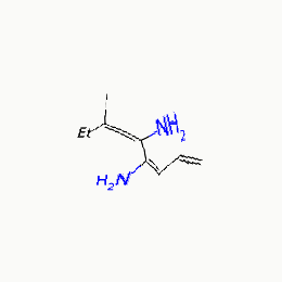 C=C/C=C(N)\C(N)=C(\C)CC